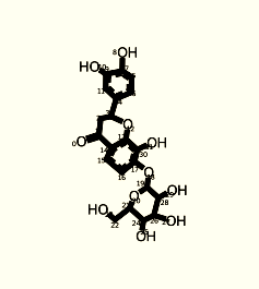 O=C1CC(c2ccc(O)c(O)c2)Oc2c1ccc(OC1OC(CO)C(O)C(O)C1O)c2O